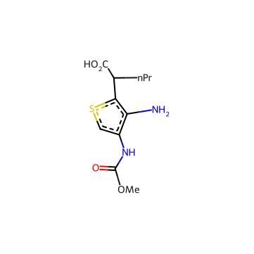 CCCC(C(=O)O)c1scc(NC(=O)OC)c1N